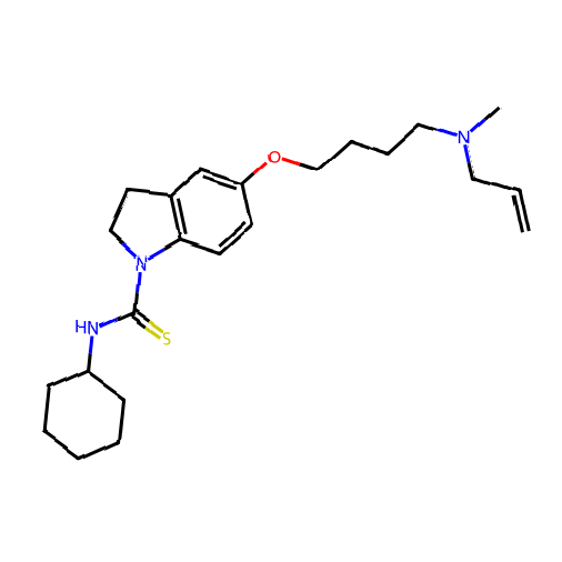 C=CCN(C)CCCCOc1ccc2c(c1)CCN2C(=S)NC1CCCCC1